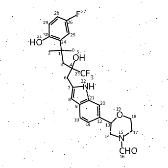 CC(C)(CC(O)(Cc1cc2ccc(C3CN(C=O)CCO3)cc2[nH]1)C(F)(F)F)c1cc(F)ccc1O